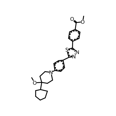 COC(=O)c1ccc(-c2nnc(-c3ccc(N4CCC(OC)(C5CCCCC5)CC4)cc3)s2)cc1